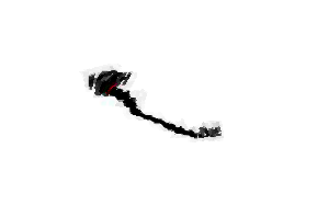 CCCCCCCCCCCCCCCCCCCCCCCCCCCCCCOP(=O)(O)O